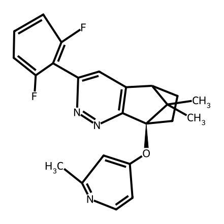 Cc1cc(O[C@@]23CCC(c4cc(-c5c(F)cccc5F)nnc42)C3(C)C)ccn1